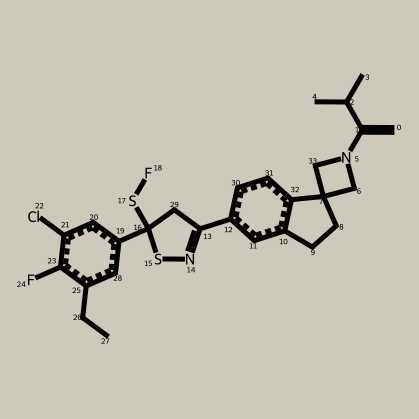 C=C(C(C)C)N1CC2(CCc3cc(C4=NSC(SF)(c5cc(Cl)c(F)c(CC)c5)C4)ccc32)C1